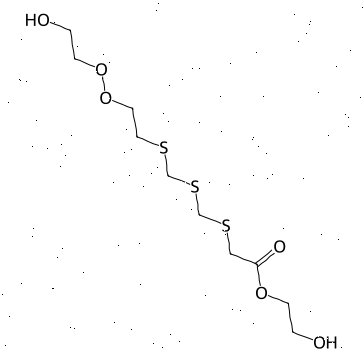 O=C(CSCSCSCCOOCCO)OCCO